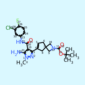 Cn1nc(C2=CCC3(C2)CN(C(=O)OC(C)(C)C)C3)c(C(=O)Nc2ccc(F)c(Cl)c2)c1N